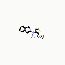 CC(=O)N(c1ccc2ccccc2c1)c1ccsc1C(=O)O